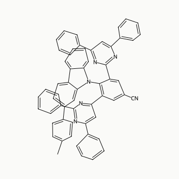 Cc1ccc(-c2ccc3c4ccccc4n(-c4c(-c5cc(-c6ccccc6)nc(-c6ccccc6)n5)cc(C#N)cc4-c4nc(-c5ccccc5)cc(-c5ccccc5)n4)c3c2)cc1